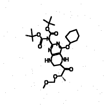 COCO[C@@H](C)C(=O)C1CNc2nc(N(C(=O)OC(C)(C)C)C(=O)OC(C)(C)C)nc(OC3CCCCC3)c2N1